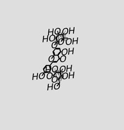 O=c1cc(-c2ccc(O)c(O[C@@H]3O[C@H](CO)[C@@H](O)[C@H](O)[C@H]3O)c2)oc2cc(O[C@@H]3O[C@H](CO)[C@@H](O)[C@H](O)[C@H]3O)cc(O)c12